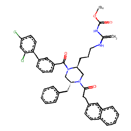 C=C(NCCC[C@H]1CN(C(=O)Cc2ccc3ccccc3c2)[C@H](Cc2ccccc2)CN1C(=O)c1cccc(-c2ccc(Cl)cc2Cl)c1)NC(=O)OC(C)(C)C